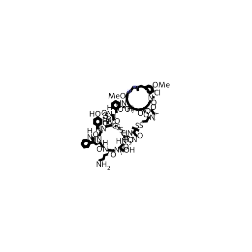 COc1cc2cc(c1Cl)N(C)C(=O)C[C@H](OC(=O)[C@H](C)N(C)C(=O)CCSSC(C)(C)[C@H](NC(=O)[C@@H]1CSSC[C@H](NC(=O)[C@@H](Cc3ccccc3)NS(C)(=O)=O)C(=O)N[C@@H](Cc3ccc(O)cc3)C(=O)N[C@H](Cc3c[nH]c4ccccc34)C(=O)N[C@@H](CCCCN)C(=O)N[C@@H]([C@@H](C)O)C(=O)N1)C(N)=O)[C@]1(C)OC1[C@H](C)[C@@H]1CC(NC(=O)O1)[C@H](OC)/C=C/C=C(\C)C2